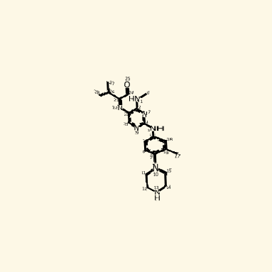 CNc1nc(Nc2ccc(N3CCNCC3)c(C)c2)ncc1/N=C(\C=O)C(C)C